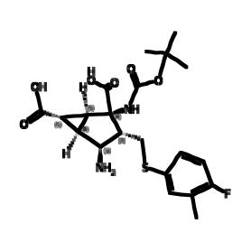 Cc1cc(SC[C@@H]2[C@@H](N)[C@H]3[C@H](C(=O)O)[C@H]3[C@]2(NC(=O)OC(C)(C)C)C(=O)O)ccc1F